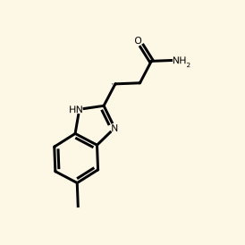 Cc1ccc2[nH]c([CH]CC(N)=O)nc2c1